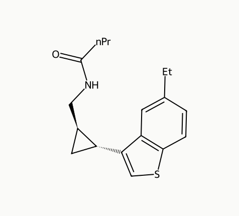 CCCC(=O)NC[C@@H]1C[C@H]1c1csc2ccc(CC)cc12